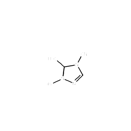 CC(C)N1N=CN(C#N)C1C